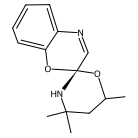 CC1CC(C)(C)N[C@@]2(C=Nc3ccccc3O2)O1